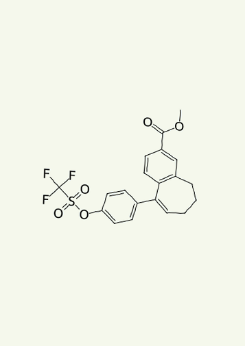 COC(=O)c1ccc2c(c1)CCCC=C2c1ccc(OS(=O)(=O)C(F)(F)F)cc1